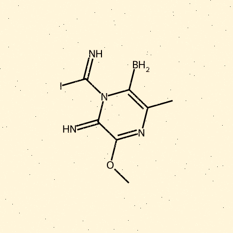 Bc1c(C)nc(OC)c(=N)n1C(=N)I